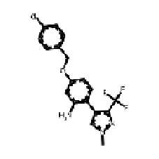 Cn1cc(-c2ccc(OCc3ccc(Cl)cc3)cc2N)c(C(F)(F)F)n1